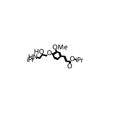 COc1cc(C=CC(=O)OC(C)C)ccc1OCC(O)CNC(C)C